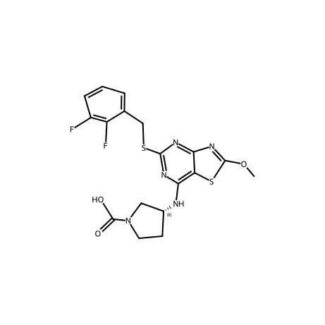 COc1nc2nc(SCc3cccc(F)c3F)nc(N[C@@H]3CCN(C(=O)O)C3)c2s1